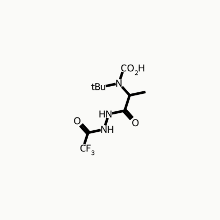 CC(C(=O)NNC(=O)C(F)(F)F)N(C(=O)O)C(C)(C)C